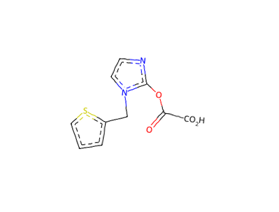 O=C(O)C(=O)Oc1nccn1Cc1cccs1